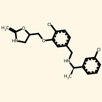 C=C1NCC(COc2cc(CN[C@H](C)c3cccc(Cl)c3)ccc2Cl)O1